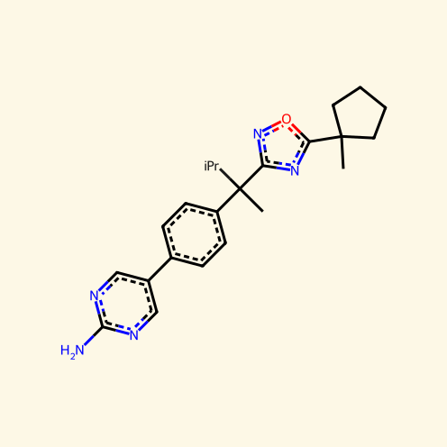 CC(C)C(C)(c1ccc(-c2cnc(N)nc2)cc1)c1noc(C2(C)CCCC2)n1